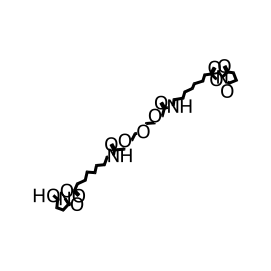 O=C(COCCOCCOCC(=O)NCCCCCCCC(=O)ON1C(=O)CCC1O)NCCCCCCCC(=O)ON1C(=O)CCC1=O